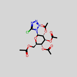 CC(=O)OC[C@H]1O[C@@H](n2nnnc2Cl)[C@H](OC(C)=O)[C@@H](OC(C)=O)[C@@H]1OC(C)=O